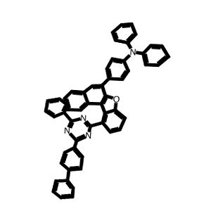 c1ccc(-c2ccc(-c3nc(-c4ccccc4)nc(-c4cccc5oc6c(-c7ccc(N(c8ccccc8)c8ccccc8)cc7)cc7ccccc7c6c45)n3)cc2)cc1